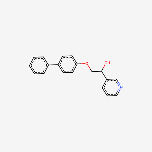 OC(COc1ccc(-c2ccccc2)cc1)c1cccnc1